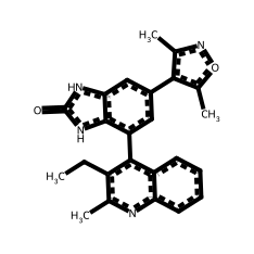 CCc1c(C)nc2ccccc2c1-c1cc(-c2c(C)noc2C)cc2[nH]c(=O)[nH]c12